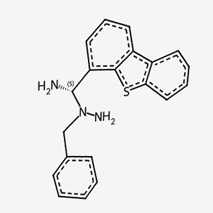 N[C@H](c1cccc2c1sc1ccccc12)N(N)Cc1ccccc1